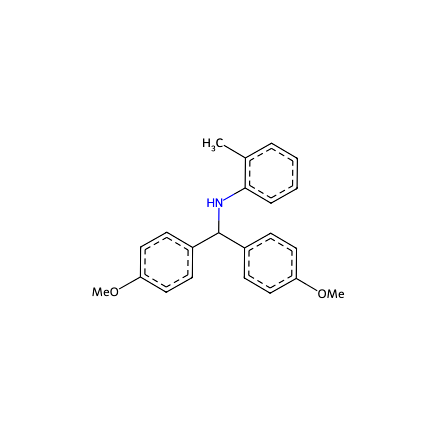 COc1ccc(C(Nc2ccccc2C)c2ccc(OC)cc2)cc1